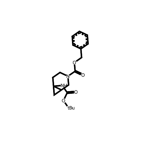 CC(C)(C)OC(=O)NC12CCN(C(=O)OCc3ccccc3)CC1C2